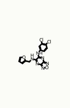 Clc1ccc(Nc2nc3nonc3nc2NCc2ccco2)cc1Cl